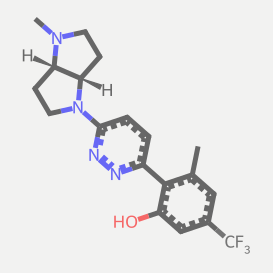 Cc1cc(C(F)(F)F)cc(O)c1-c1ccc(N2CC[C@H]3[C@@H]2CCN3C)nn1